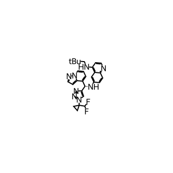 CC(C)(C)CNc1ccnc2ccc(N[C@H](c3cn(C4(C(F)F)CC4)nn3)c3cccn4nccc34)cc12